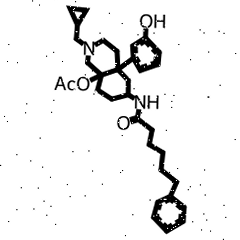 CC(=O)OC12CCC(NC(=O)CCCCCc3ccccc3)CC1(c1cccc(O)c1)CCN(CC1CC1)C2